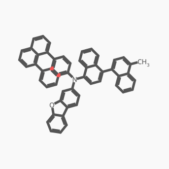 Cc1ccc(-c2ccc(N(c3ccc(-c4cccc5cccc(-c6ccccc6)c45)cc3)c3ccc4c(c3)oc3ccccc34)c3ccccc23)c2ccccc12